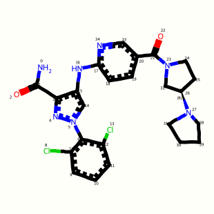 NC(=O)c1nn(-c2c(Cl)cccc2Cl)cc1Nc1ccc(C(=O)N2CC[C@@H](N3CCCC3)C2)cn1